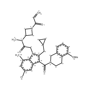 C=CC(=O)N1CC(N(C)C(=O)Cn2c(CC3CC3)c(C(=O)N3CCc4c(cccc4OC)C3)c3cc(Cl)cc(C)c32)C1